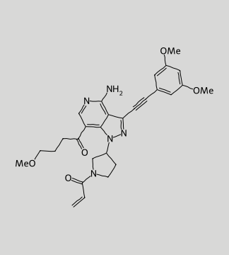 C=CC(=O)N1CCC(n2nc(C#Cc3cc(OC)cc(OC)c3)c3c(N)ncc(C(=O)CCCOC)c32)C1